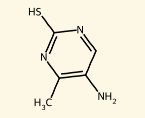 Cc1nc(S)ncc1N